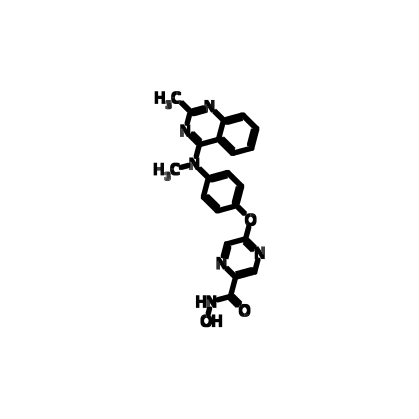 Cc1nc(N(C)c2ccc(Oc3cnc(C(=O)NO)cn3)cc2)c2ccccc2n1